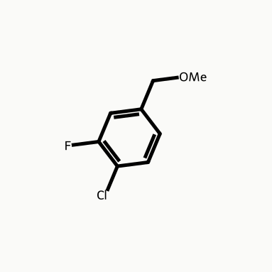 COCc1ccc(Cl)c(F)c1